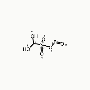 O=POS(=O)(=O)C(O)O